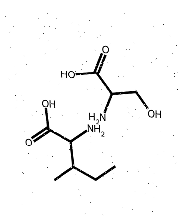 CCC(C)C(N)C(=O)O.NC(CO)C(=O)O